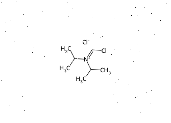 CC(C)[N+](=CCl)C(C)C.[Cl-]